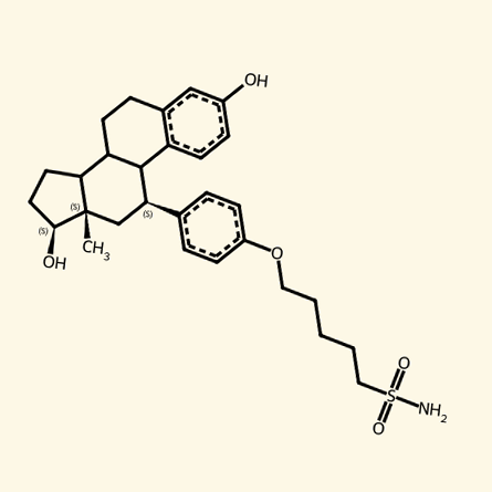 C[C@]12C[C@H](c3ccc(OCCCCCS(N)(=O)=O)cc3)C3c4ccc(O)cc4CCC3C1CC[C@@H]2O